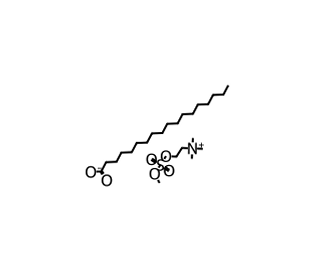 CCCCCCCCCCCCCCCCCC(=O)[O-].COS(=O)(=O)OCC[N+](C)(C)C